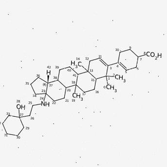 CC1(C)C(C2=CCC(C(=O)O)CC2)=CCC2(C)C1CCC1(C)C3CCC4(NCCC5(O)CCCCC5)CCC[C@@H]4C3CCC12